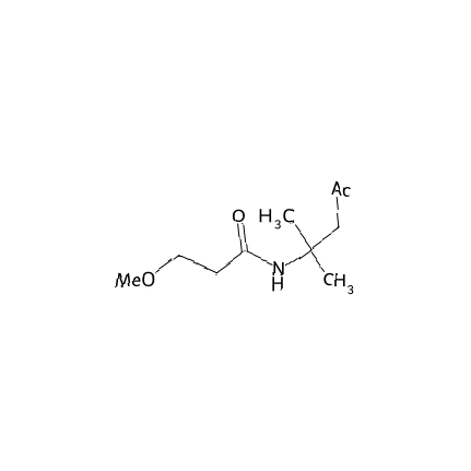 COCCC(=O)NC(C)(C)CC(C)=O